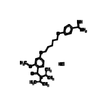 COc1cc(OCCCCCOc2ccc(C(=N)N)cc2)ccc1C(=O)N(C(C)C)C(C)C.Cl